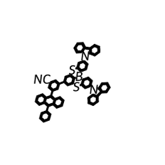 N#Cc1cc(-c2cc3c4c(c2)Sc2cc(-n5c6ccccc6c6ccccc65)ccc2B4c2ccc(-n4c5ccccc5c5ccccc54)cc2S3)cc(-c2c3ccccc3c(-c3ccccc3)c3ccccc23)c1